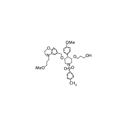 COCCCN1CCOc2ccc(CO[C@H]3CN(S(=O)(=O)c4ccc(C)cc4)C[C@@H](OCCCO)[C@@H]3c3ccc(OC)cc3)cc21